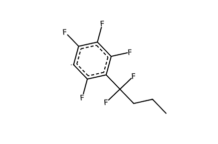 CCCC(F)(F)c1c(F)[c]c(F)c(F)c1F